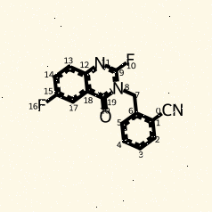 N#Cc1ccccc1Cn1c(F)nc2ccc(F)cc2c1=O